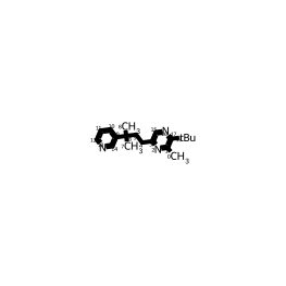 Cc1nc(CCC(C)(C)c2cccnc2)cnc1C(C)(C)C